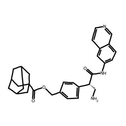 NC[C@@H](C(=O)Nc1ccc2cnccc2c1)c1ccc(COC(=O)C23CC4CC(CC(C4)C2)C3)cc1